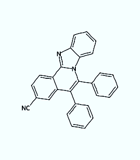 N#Cc1ccc2c(c1)c(-c1ccccc1)c(-c1ccccc1)n1c3ccccc3nc21